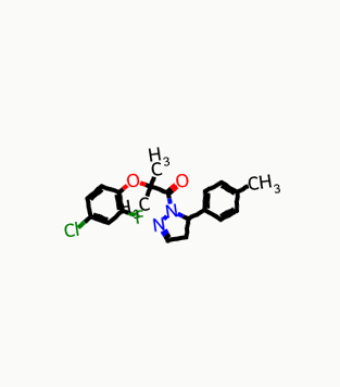 Cc1ccc(C2CC=NN2C(=O)C(C)(C)Oc2ccc(Cl)cc2F)cc1